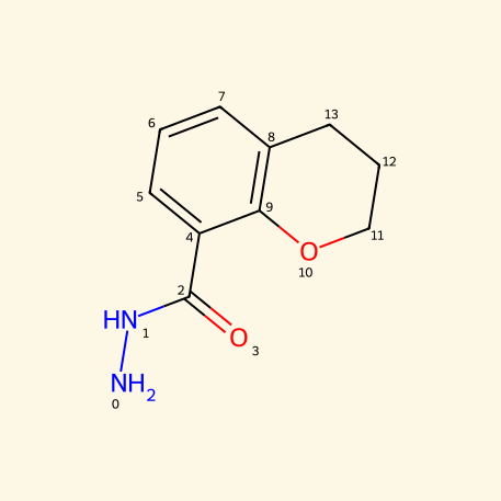 NNC(=O)c1cccc2c1OCCC2